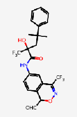 CC(C)(CC(O)(C(=O)Nc1ccc2c(c1)C(C(F)(F)F)=NOC2C=O)C(F)(F)F)c1ccccc1